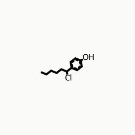 CCCCCC(Cl)c1ccc(O)cc1